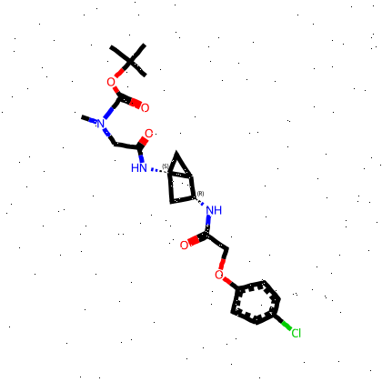 CN(CC(=O)N[C@]12CC1[C@H](NC(=O)COc1ccc(Cl)cc1)C2)C(=O)OC(C)(C)C